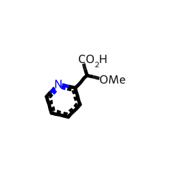 COC(C(=O)O)c1ccccn1